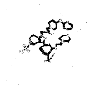 CS(=O)(=O)N1CCc2c(c(-c3ccc(C(F)(F)F)c(SCCN4CCOCC4)c3)nn2CC(O)CN2CCC(Oc3ccccn3)CC2)C1